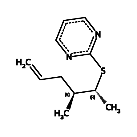 C=CC[C@H](C)[C@@H](C)Sc1ncccn1